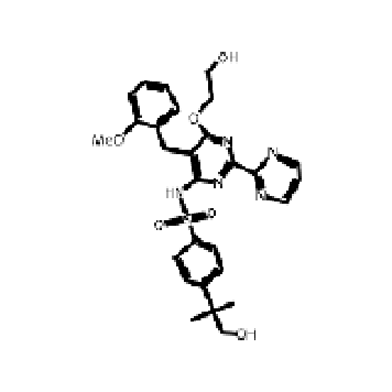 COc1ccccc1Cc1c(NS(=O)(=O)c2ccc(C(C)(C)CO)cc2)nc(-c2ncccn2)nc1OCCO